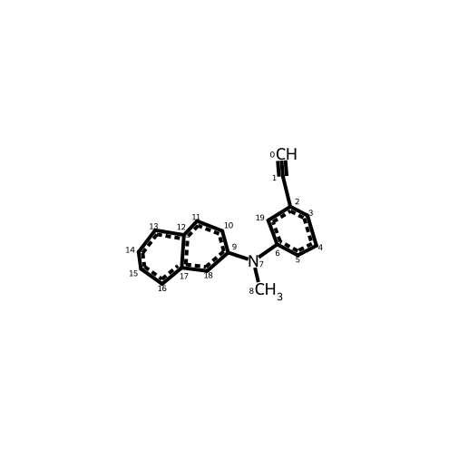 C#Cc1cccc(N(C)c2ccc3ccccc3c2)c1